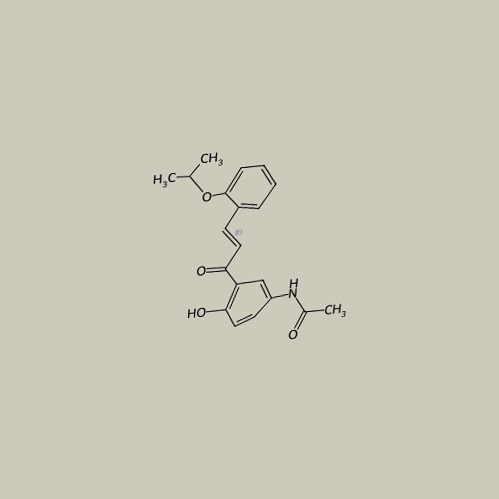 CC(=O)Nc1ccc(O)c(C(=O)/C=C/c2ccccc2OC(C)C)c1